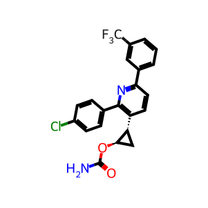 NC(=O)O[C@@H]1C[C@H]1c1ccc(-c2cccc(C(F)(F)F)c2)nc1-c1ccc(Cl)cc1